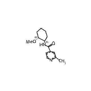 CO[C@@H]1CCCC[C@H]1NC(=O)c1ccnc(C)c1